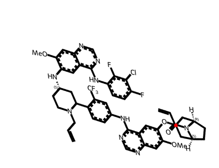 C=CCN1CC[C@H](Nc2cc3c(Nc4ccc(F)c(Cl)c4F)ncnc3cc2OC)CC1c1ccc(Nc2ncnc3cc(OC)c(OC4C[C@H]5CC[C@@H](C4)N5C(=O)C=C)cc23)cc1C(F)(F)F